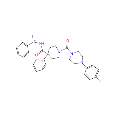 C[C@H](NC(=O)C1(c2ccccc2)CCN(C(=O)N2CCN(c3ccc(F)cc3)CC2)CC1)c1ccccc1